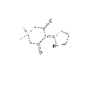 CC1(C)CC(=O)C(=C2CCCN2)C(=O)C1